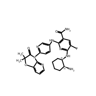 CC1(C)Oc2cccnc2N(c2ccc(Nc3nc(N[C@@H]4CCCC[C@@H]4N)c(F)cc3C(N)=O)cn2)C1=O